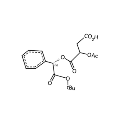 CC(=O)OC(CC(=O)O)C(=O)O[C@H](C(=O)OC(C)(C)C)c1ccccc1